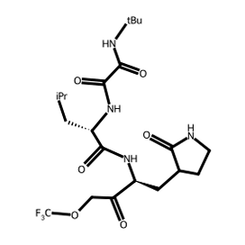 CC(C)C[C@H](NC(=O)C(=O)NC(C)(C)C)C(=O)N[C@@H](CC1CCNC1=O)C(=O)COC(F)(F)F